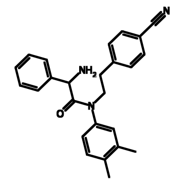 Cc1ccc(N(CCc2ccc(C#N)cc2)C(=O)C(N)c2ccccc2)cc1C